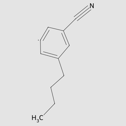 CCCCc1c[c]cc(C#N)c1